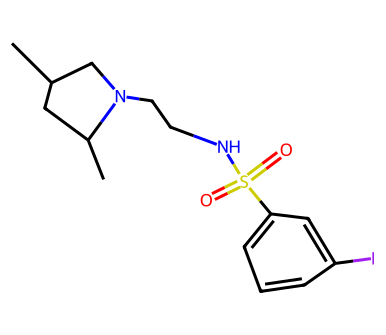 CC1CC(C)N(CCNS(=O)(=O)c2cccc(I)c2)C1